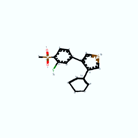 CS(=O)(=O)c1ccc(-c2cscc2C2CCCCC2)cc1F